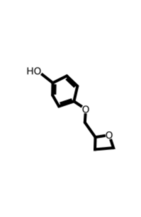 Oc1ccc(OCC2CCO2)cc1